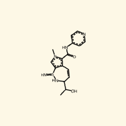 CC(O)C1C=Cc2c(cn(C)c2C(=O)Nc2ccncc2)S(=N)N1